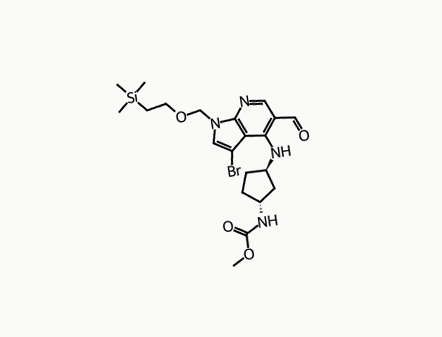 COC(=O)N[C@@H]1CC[C@@H](Nc2c(C=O)cnc3c2c(Br)cn3COCC[Si](C)(C)C)C1